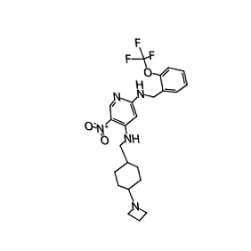 O=[N+]([O-])c1cnc(NCc2ccccc2OC(F)(F)F)cc1NCC1CCC(N2CCC2)CC1